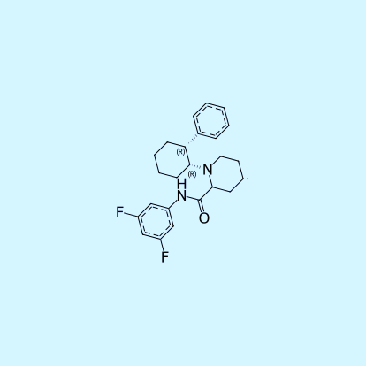 O=C(Nc1cc(F)cc(F)c1)C1C[CH]CCN1[C@@H]1CCCC[C@@H]1c1ccccc1